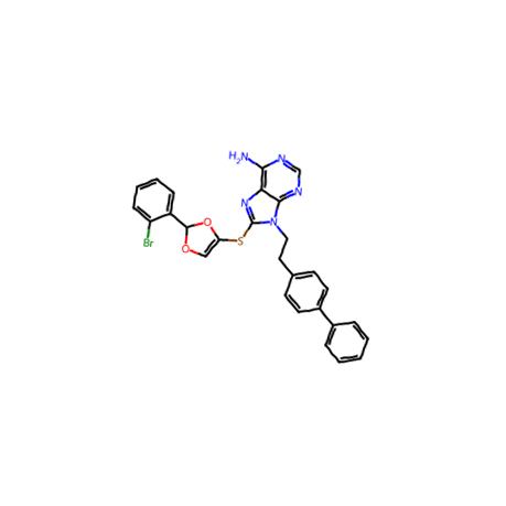 Nc1ncnc2c1nc(SC1=COC(c3ccccc3Br)O1)n2CCc1ccc(-c2ccccc2)cc1